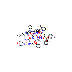 CC(C)CC(NC(=O)[C@H](CCc1ccccc1)NC(=O)CN1CCOCC1)C(=O)N[C@@H](Cc1ccccc1)C(=O)NC(CC(C)C)C(=O)C(C)(O)CN[C@@H](CCc1ccccc1)C(=O)N[C@@H](CC(C)C)C(=O)N[C@@H](Cc1ccccc1)C(=O)NC(CC(C)C)C(=O)C1(C)CO1